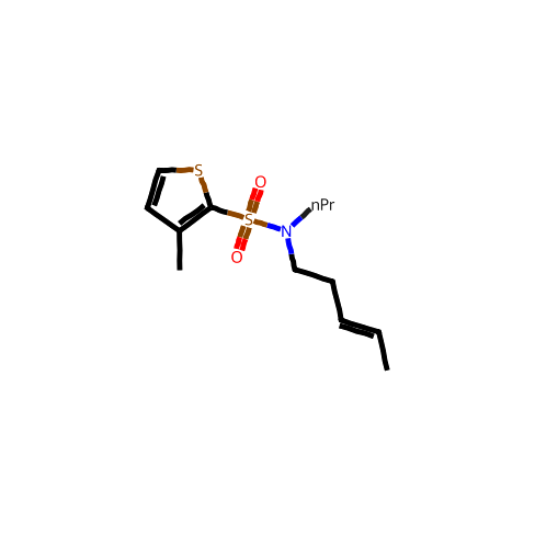 CC=CCCN(CCC)S(=O)(=O)c1sccc1C